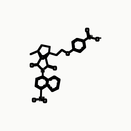 CC12CCC(CCOc3ccc([N+](=O)[O-])cc3)(O1)C1C(=O)N(c3ccc([N+](=O)[O-])c4ccccc34)C(=O)C12